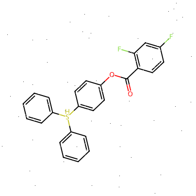 O=C(Oc1ccc([SH](c2ccccc2)c2ccccc2)cc1)c1ccc(F)cc1F